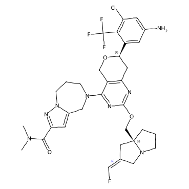 CN(C)C(=O)c1cc2n(n1)CCCN(c1nc(OC[C@@]34CCCN3C/C(=C\F)C4)nc3c1CO[C@@H](c1cc(N)cc(Cl)c1C(F)(F)F)C3)C2